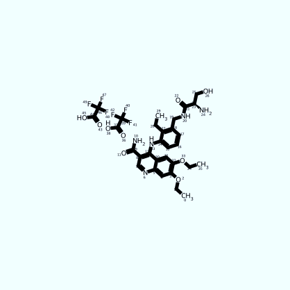 CCOc1cc2ncc(C(N)=O)c(Nc3cccc(CNC(=O)[C@H](N)CO)c3CC)c2cc1OCC.O=C(O)C(F)(F)F.O=C(O)C(F)(F)F